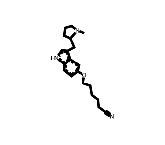 CN1CCCC1Cc1c[nH]c2ccc(OCCCCCC#N)cc12